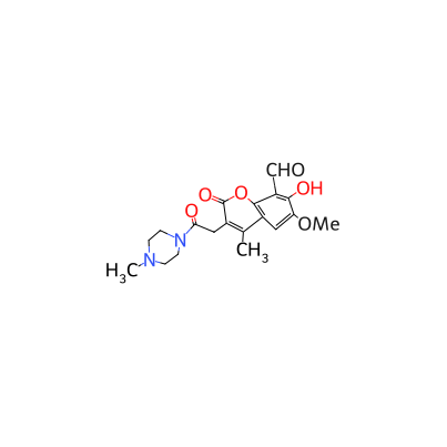 COc1cc2c(C)c(CC(=O)N3CCN(C)CC3)c(=O)oc2c(C=O)c1O